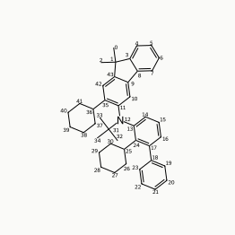 CC1(C)c2ccccc2-c2cc(N(c3cccc(-c4ccccc4)c3C3CCCCC3)C(C)(C)C)c(C3CCCCC3)cc21